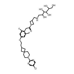 O=C(Cc1c(F)cc(OCCC2CC3(CCN(c4ncc(Cl)cn4)CC3)C2)cc1F)N1CC(CNCC(O)C(O)C(O)C(O)CO)C1